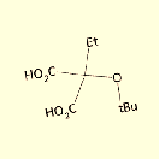 CCC(OC(C)(C)C)(C(=O)O)C(=O)O